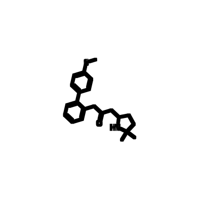 CSc1ccc(-c2ccccc2CC(=O)CC2CCC(C)(C)N2)cc1